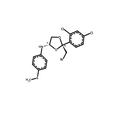 CSc1ccc(N[C@@H]2CO[C@](CBr)(c3ccc(Cl)cc3Cl)O2)cc1